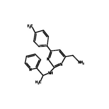 CC(Nc1nc(CN)cc(-c2ccc(C(F)(F)F)cc2)n1)c1ccccn1